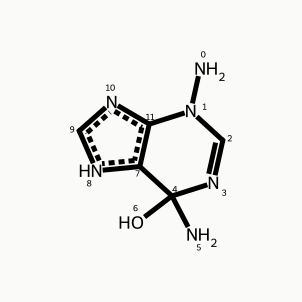 NN1C=NC(N)(O)c2[nH]cnc21